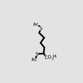 CC(=O)SCCCCC(SC(C)=O)C(=O)O